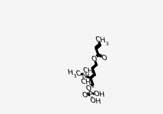 CC=CC(=O)OCCCC(COP(=O)(O)O)[N+](C)(C)C